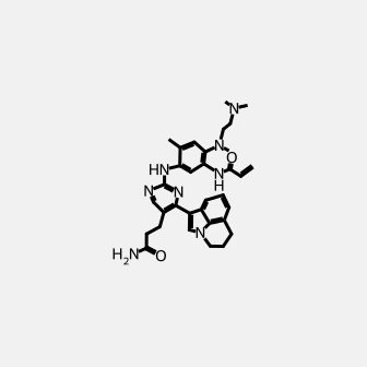 C=CC(=O)Nc1cc(Nc2ncc(CCC(N)=O)c(-c3cn4c5c(cccc35)CCC4)n2)c(C)cc1N(C)CCN(C)C